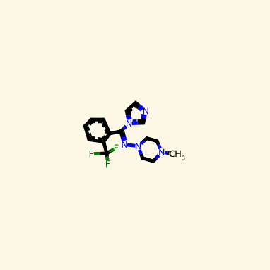 CN1CCN(N=C(c2ccccc2C(F)(F)F)n2ccnc2)CC1